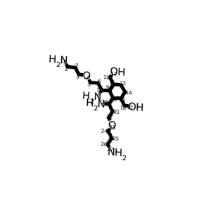 NCCCOCCC(N)C1C(CO)CCC(CO)C1C(N)CCOCCCN